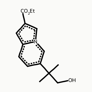 CCOC(=O)c1cc2ccc(C(C)(C)CO)cn2c1